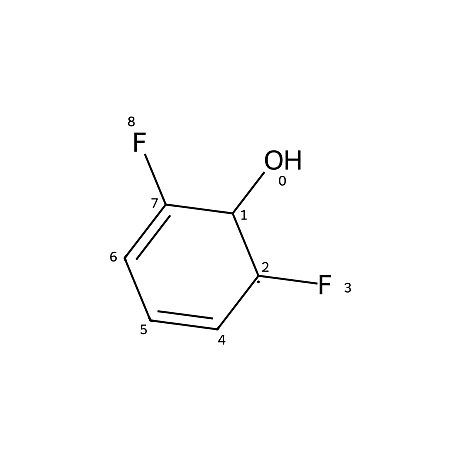 OC1[C](F)C=CC=C1F